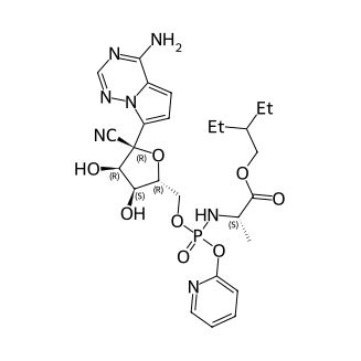 CCC(CC)COC(=O)[C@H](C)NP(=O)(OC[C@H]1O[C@@](C#N)(c2ccc3c(N)ncnn23)[C@H](O)[C@@H]1O)Oc1ccccn1